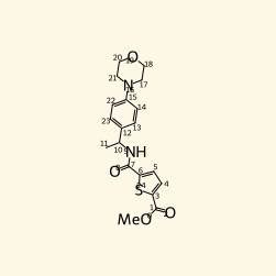 COC(=O)c1ccc(C(=O)NC(C)c2ccc(N3CCOCC3)cc2)s1